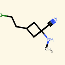 CNC1(C#N)CC(CCCl)C1